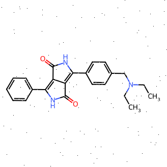 CCN(CC)Cc1ccc(C2=C3C(=O)NC(c4ccccc4)=C3C(=O)N2)cc1